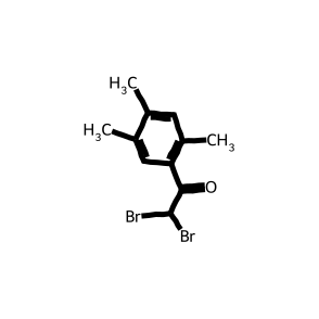 Cc1cc(C)c(C(=O)C(Br)Br)cc1C